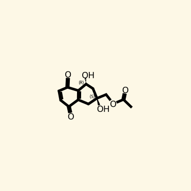 CC(=O)OC[C@]1(O)CC2=C(C(=O)C=CC2=O)[C@H](O)C1